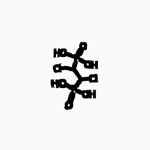 O=P(O)(O)C(Cl)C(Cl)P(=O)(O)O